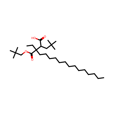 CCCCCCCCCCCCCCC(CC)(C(=O)OCC(C)(C)C)C(CC(C)(C)C)C(=O)O